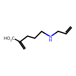 C=CCNCCCC(=C)C(=O)O